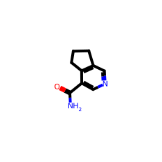 NC(=O)c1cncc2c1CCC2